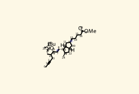 CC#CCC(C)[C@@H](/C=C/[C@@H]1[C@H]2C/C(=C/CCCC(=O)OC)C[C@H]2C[C@H]1C)O[Si](C)(C)C(C)(C)C